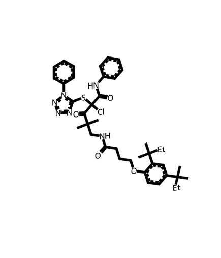 CCC(C)(C)c1ccc(OCCCC(=O)NCC(C)(C)C(=O)C(Cl)(Sc2nnnn2-c2ccccc2)C(=O)Nc2ccccc2)c(C(C)(C)CC)c1